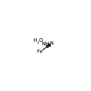 N.N#[C][Fe].O